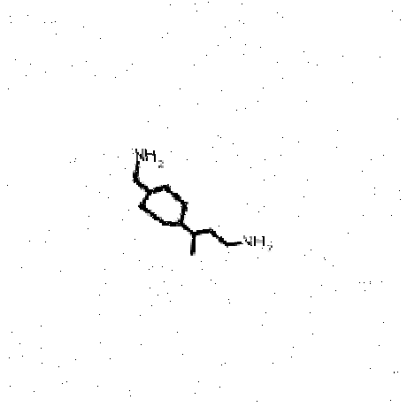 CC(CCN)C1CCC(CN)CC1